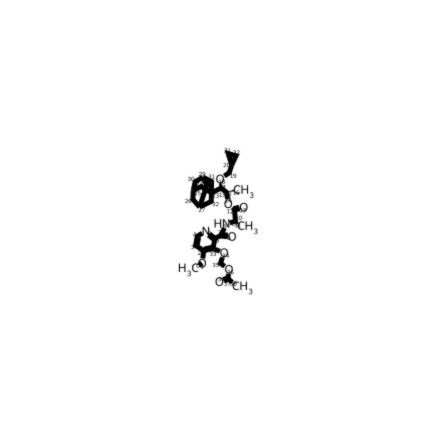 COc1ccnc(C(=O)N[C@@H](C)C(=O)O[C@@H](C)[C@H](OCC2CC2)C23CC4CC(CC(C4)C2)C3)c1OCOC(C)=O